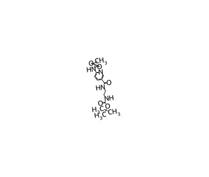 CC(C)(C)OC(=O)NCCNC(=O)c1ccc(NS(C)(=O)=O)nc1